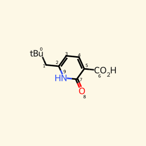 CC(C)(C)Cc1ccc(C(=O)O)c(=O)[nH]1